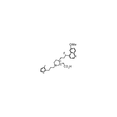 COc1ccc2nccc(C(F)CC[C@@H]3CCN(CCCc4sccc4C)C[C@@H]3CC(=O)O)c2c1